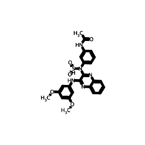 COc1cc(Nc2nc3ccccc3nc2N(c2cccc(NC(C)=O)c2)[SH](=O)=O)cc(OC)c1